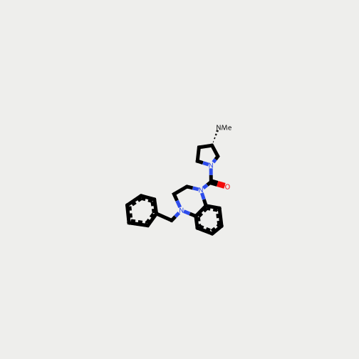 CN[C@H]1CCN(C(=O)N2CCN(Cc3ccccc3)c3ccccc32)C1